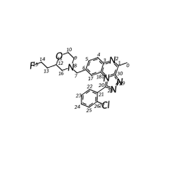 Cc1nc2ccc(CN3CCOC(CCF)C3)cc2n2c(-c3ccccc3Cl)nnc12